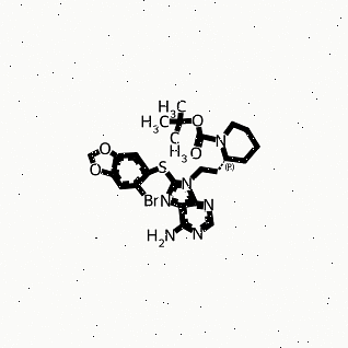 CC(C)(C)OC(=O)N1CCCC[C@@H]1CCn1c(Sc2cc3c(cc2Br)OCO3)nc2c(N)ncnc21